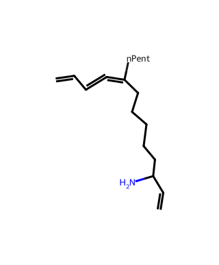 C=CC=C=C(CCCCC)CCCCCC(N)C=C